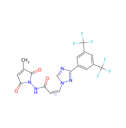 CC1=CC(=O)N(NC(=O)/C=C\n2cnc(-c3cc(C(F)(F)F)cc(C(F)(F)F)c3)n2)C1=O